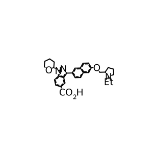 CCN1CCCC1COc1ccc2cc(-c3nn([C@@H]4CCCCO4)c4ccc(C(=O)O)cc34)ccc2c1